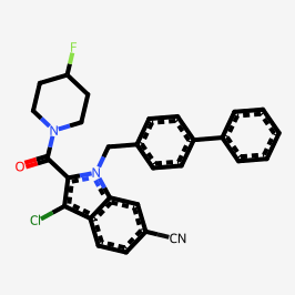 N#Cc1ccc2c(Cl)c(C(=O)N3CCC(F)CC3)n(Cc3ccc(-c4ccccc4)cc3)c2c1